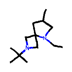 CCN1CC(C)CC12CN(C(C)(C)C)C2